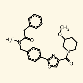 COC1CCCN(C(=O)c2coc(-c3ccc(CN(C)C(=O)Cc4ccccc4)cc3)n2)C1